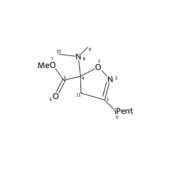 CCCC(C)C1=NOC(C(=O)OC)(N(C)C)C1